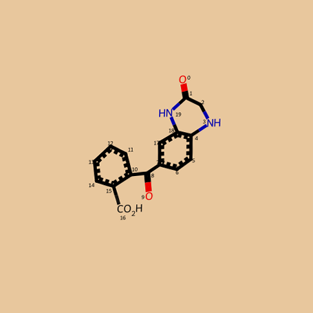 O=C1CNc2ccc(C(=O)c3ccccc3C(=O)O)cc2N1